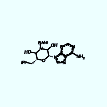 CNN1C(O)[C@H](n2cnc3c(N)ncnc32)O[C@H](CC(C)C)C1O